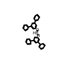 B(Oc1cc(-c2ccccc2)cc(-c2ccccc2)c1)Oc1cc(-c2ccccc2)cc(-c2ccccc2)c1